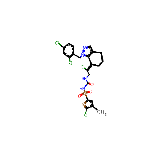 Cc1cc(S(=O)(=O)NC(=O)NC/C(F)=C2\CCCc3cnn(Cc4ccc(Cl)cc4Cl)c32)sc1Cl